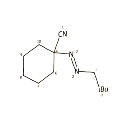 CCC(C)CN=NC1(C#N)CCCCC1